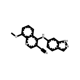 COc1cccc2c(Nc3ccc4cn[nH]c4c3)c(C#N)cnc12